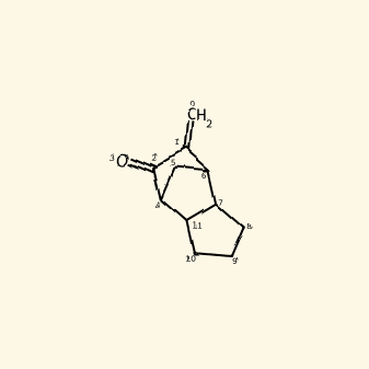 C=C1C(=O)C2CC1C1CCCC21